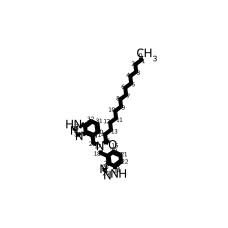 CCCCCCCCCCCCCCCC(=O)N(Cc1cccc2[nH]nnc12)Cc1cccc2[nH]nnc12